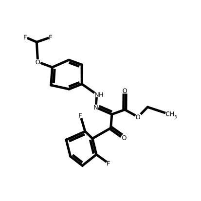 CCOC(=O)C(=NNc1ccc(OC(F)F)cc1)C(=O)c1c(F)cccc1F